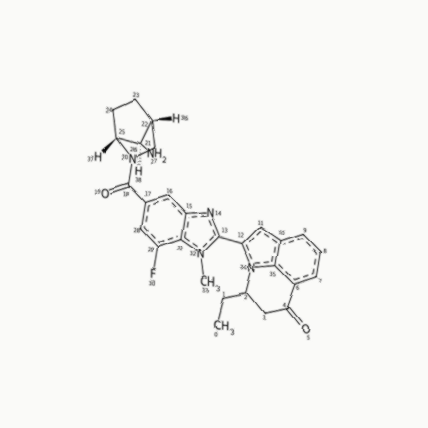 CCC1CC(=O)c2cccc3cc(-c4nc5cc(C(=O)N6C[C@H]7CC[C@@H]6[C@@H]7N)cc(F)c5n4C)n1c23